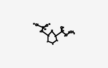 COC(=O)C1CCCC(O[N+](=O)[O-])C1